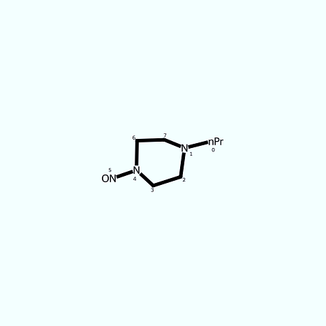 CCCN1CCN(N=O)CC1